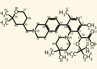 Cc1nc(C)c([C@H](OC(C)(C)C)C(=O)O)c(N2CCC(C)(C)CC2)c1-c1ccc2c(c1)CCN(CC1CCOC(C)(C)C1)C2